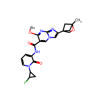 CCC(C)Oc1nc2nc(C34COC(C)(C3)C4)cn2cc1C(=O)Nc1cccn(C2CC2F)c1=O